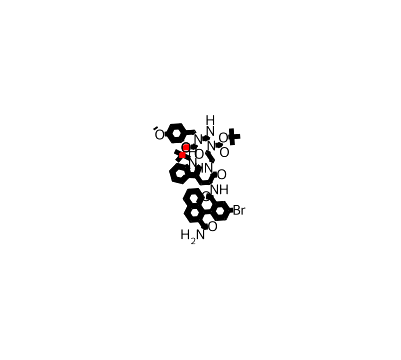 COc1ccc(CN(C(=N)N(CCNC(=O)C(Cc2c[nH]c3ccccc23)NC(=O)c2cc(Br)ccc2-c2c(C(N)=O)ccc3ccccc23)C(=O)OC(C)(C)C)C(=O)OC(C)(C)C)c(OC)c1